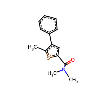 Cc1sc(C(=O)N(C)C)cc1-c1ccccc1